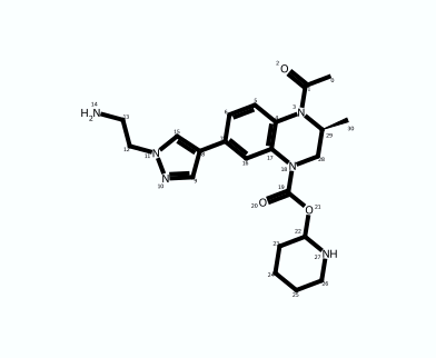 CC(=O)N1c2ccc(-c3cnn(CCN)c3)cc2N(C(=O)OC2CCCCN2)C[C@@H]1C